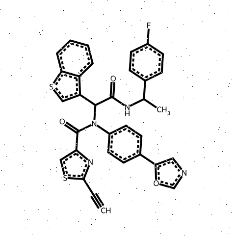 C#Cc1nc(C(=O)N(c2ccc(-c3cnco3)cc2)C(C(=O)NC(C)c2ccc(F)cc2)c2csc3ccccc23)cs1